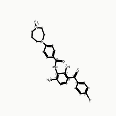 CN1CCCN(c2ccc(C(=O)Nc3c(N)ccc(C(=O)c4ccc(Br)cc4)c3O)cc2)CC1